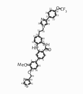 COc1cc(-c2ccc3c(c2)Nc2ccc(CCn4cnc(-c5ccc(OC(F)(F)F)cc5)c4)cc2NC3=O)ccc1OCc1cscn1